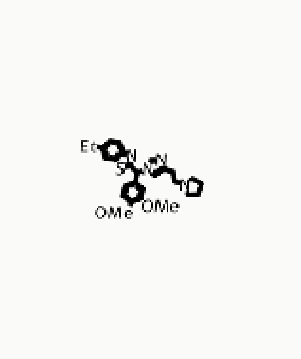 CCc1ccc2nc(C(c3ccc(OC)c(OC)c3)n3cnc(CCN4CCCC4)c3)sc2c1